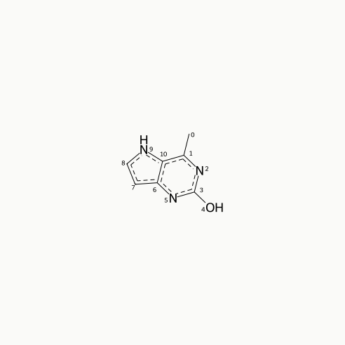 Cc1nc(O)nc2cc[nH]c12